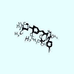 C=CN(/C=C(/C)N)c1ccc(/C=C2\OC(C)(C)CN3C2=NOC3(C)c2ccc(F)cc2)cc1OC